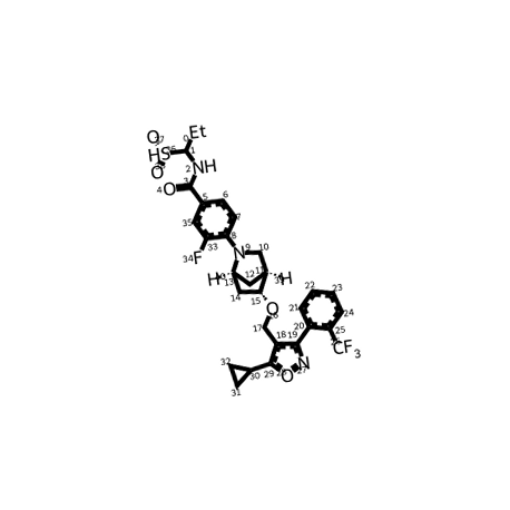 CCC(NC(=O)c1ccc(N2C[C@@H]3C[C@H]2C[C@H]3OCc2c(-c3ccccc3C(F)(F)F)noc2C2CC2)c(F)c1)[SH](=O)=O